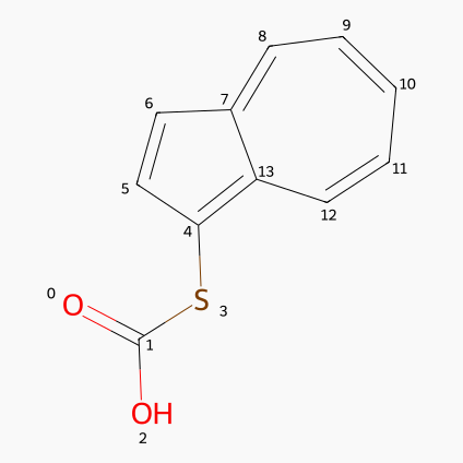 O=C(O)Sc1ccc2cccccc1-2